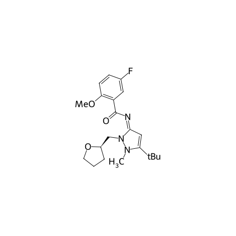 COc1ccc(F)cc1C(=O)N=c1cc(C(C)(C)C)n(C)n1C[C@H]1CCCO1